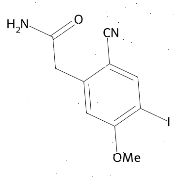 COc1cc(CC(N)=O)c(C#N)cc1I